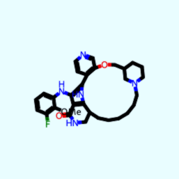 COc1c(F)cccc1Nc1c2[nH]c3c1C(=O)NCC3CCCCCCN1CCCC(COc3cnccc3-2)C1